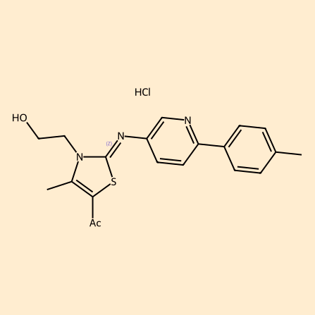 CC(=O)c1s/c(=N\c2ccc(-c3ccc(C)cc3)nc2)n(CCO)c1C.Cl